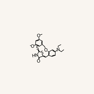 CCN(CC)c1ccc(/C=C2\SC(=S)NC2=O)c(OCc2cc(OC)cc(OC)c2)c1